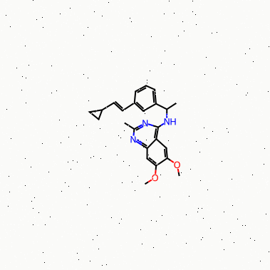 COc1cc2nc(C)nc(NC(C)c3cccc(/C=C/C4CC4)c3)c2cc1OC